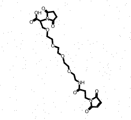 O=C(CCN1C(=O)C=CC1=O)NCCOCCOCCOCCOCC(C(=O)O)N1C(=O)CCC1=O